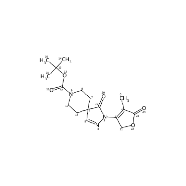 CC1=C(N2N=CC3(CCN(C(=O)OC(C)(C)C)CC3)C2=O)COC1=O